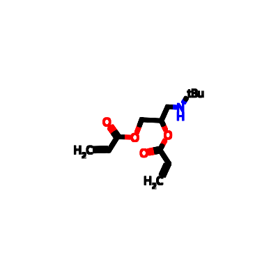 C=CC(=O)OCC(CNC(C)(C)C)OC(=O)C=C